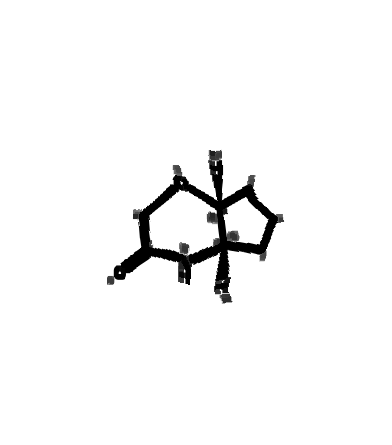 O=C1CO[C@@H]2CCC[C@@H]2N1